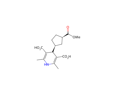 COC(=O)[C@@H]1CC[C@H](C2C(C(=O)O)=C(C)NC(C)=C2C(=O)O)C1